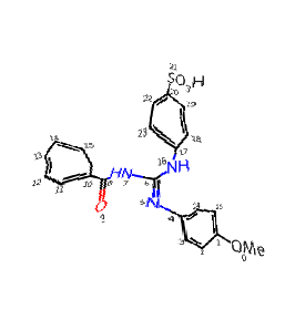 COc1ccc(/N=C(/NC(=O)c2ccccc2)Nc2ccc(S(=O)(=O)O)cc2)cc1